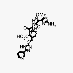 CON=C(C(=O)NC1C(=O)N2C(C(=O)O)=C(CSc3nnc(-c4cccnc4)[nH]3)CS[C@@H]12)c1csc(N)n1